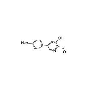 N#Cc1ccc(-c2cnc([C]=O)c(O)c2)cc1